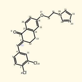 O=C1/C(=C/c2ccc(Cl)c(Cl)c2)CCc2cc(OCCn3ccnc3)ccc21